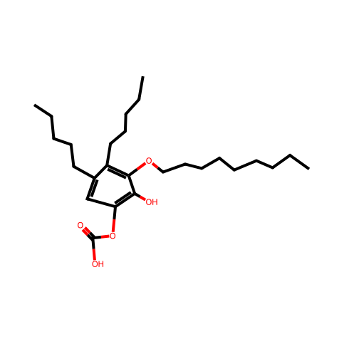 CCCCCCCCCOc1c(O)c(OC(=O)O)cc(CCCCC)c1CCCCC